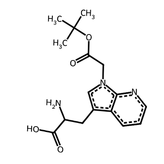 CC(C)(C)OC(=O)Cn1cc(CC(N)C(=O)O)c2cccnc21